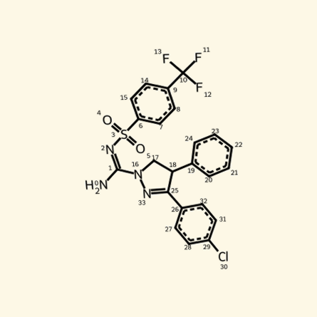 NC(=NS(=O)(=O)c1ccc(C(F)(F)F)cc1)N1CC(c2ccccc2)C(c2ccc(Cl)cc2)=N1